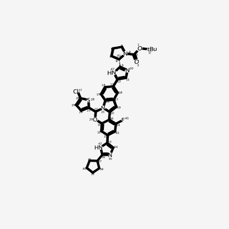 CC(C)(C)OC(=O)N1CCC[C@H]1c1ncc(-c2ccc3c(c2)cc2n3C(c3ccc(Cl)s3)Oc3cc(-c4cnc(C5CCCC5)[nH]4)cc(F)c3-2)[nH]1